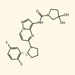 O=C(Nc1cnn2ccc(N3CCC[C@@H]3c3cc(F)ccc3F)nc12)N1CCC(O)(O)C1